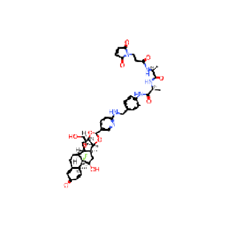 C[C@H](NC(=O)CCN1C(=O)C=CC1=O)C(=O)N[C@@H](C)C(=O)Nc1ccc(CNc2ccc(C3O[C@@H]4C[C@H]5[C@@H]6CCC7=CC(=O)C=C[C@]7(C)[C@@]6(F)[C@@H](O)C[C@]5(C)[C@]4(C(=O)CO)O3)cn2)cc1